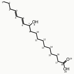 CCCC=CC=CC(O)CCCCCCCCCC(=O)O